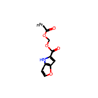 CCCC(=O)OCOC(=O)c1cc2occc2[nH]1